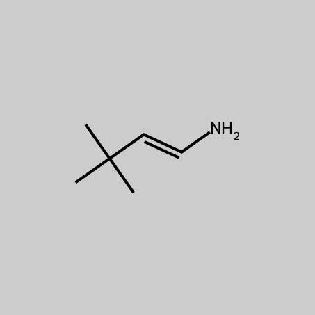 CC(C)(C)/C=C/N